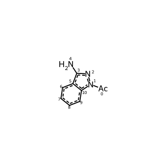 CC(=O)n1nc(N)c2ccccc21